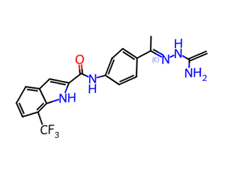 C=C(N)N/N=C(\C)c1ccc(NC(=O)c2cc3cccc(C(F)(F)F)c3[nH]2)cc1